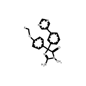 CN1C(=O)C(c2ccc(OCF)cc2)(c2cccc(-c3cncnc3)c2)N=C1N